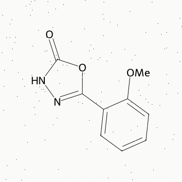 COc1ccccc1-c1n[nH]c(=O)o1